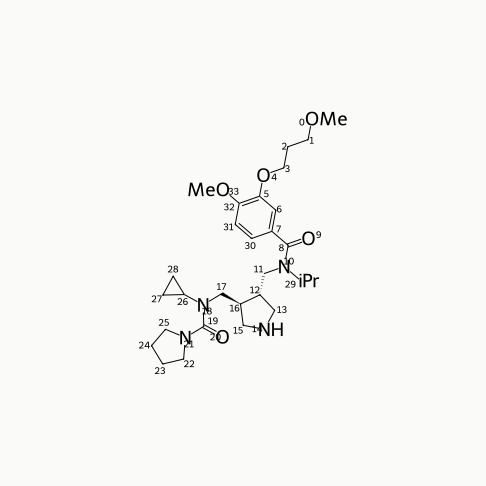 COCCCOc1cc(C(=O)N(C[C@@H]2CNC[C@H]2CN(C(=O)N2CCCC2)C2CC2)C(C)C)ccc1OC